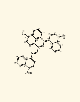 CCCC[n+]1ccc(/C=C/C(=C/C=C2/C=CN(CC)c3ccccc32)c2cc[n+](CC)c3ccccc23)c2ccccc21